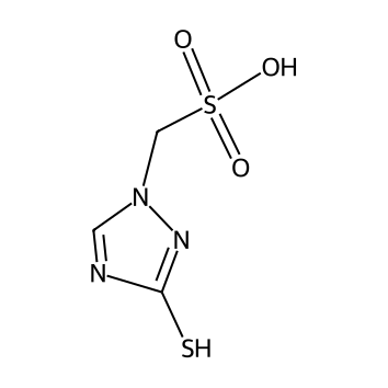 O=S(=O)(O)Cn1cnc(S)n1